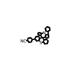 N#Cc1ccc(-c2ccc3c(c2)Sc2ccccc2C32c3ccccc3-n3c4ccccc4c4cccc2c43)cc1